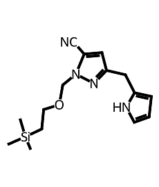 C[Si](C)(C)CCOCn1nc(Cc2ccc[nH]2)cc1C#N